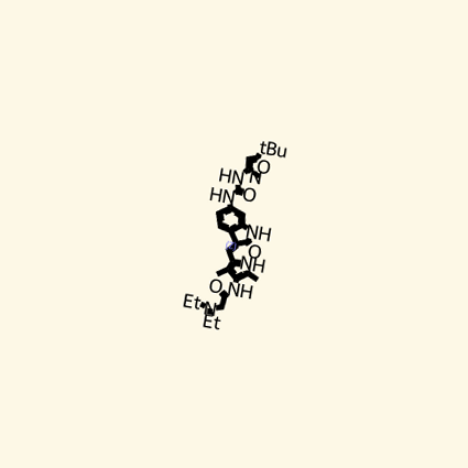 CCN(CC)CC(=O)Nc1c(C)[nH]c(/C=C2\C(=O)Nc3cc(NC(=O)Nc4cc(C(C)(C)C)on4)ccc32)c1C